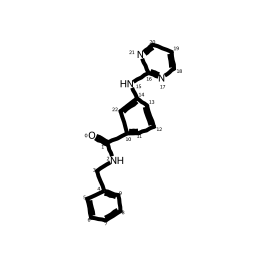 O=C(NCc1[c]cccc1)c1cccc(Nc2ncccn2)c1